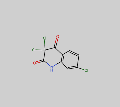 O=C1Nc2cc(Cl)ccc2C(=O)C1(Cl)Cl